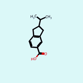 CC(C)C1Cc2ccc(C(=O)O)cc2C1